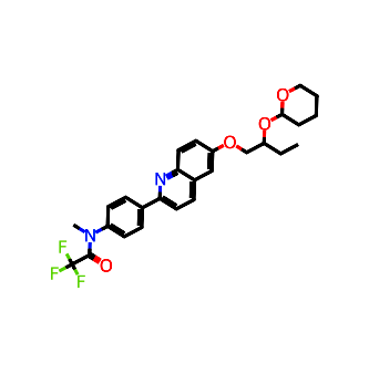 CCC(COc1ccc2nc(-c3ccc(N(C)C(=O)C(F)(F)F)cc3)ccc2c1)OC1CCCCO1